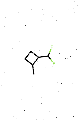 C[C]1CCC1C(F)F